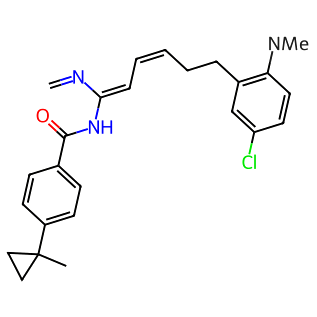 C=N/C(=C\C=C/CCc1cc(Cl)ccc1NC)NC(=O)c1ccc(C2(C)CC2)cc1